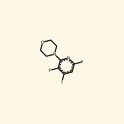 Fc1cc(I)c(F)c(N2CCOCC2)n1